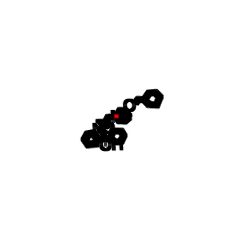 O[C@](c1ccccc1)(c1ncc(C[N+]23CCC(CC2)C(OCCC2CCCCC2)C3)o1)C1CCCCC1